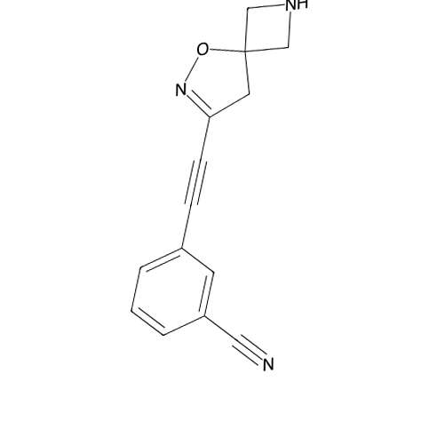 N#Cc1cccc(C#CC2=NOC3(CNC3)C2)c1